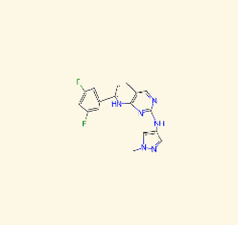 [CH2][C](Nc1nc(Nc2cnn(C)c2)ncc1C)c1cc(F)cc(F)c1